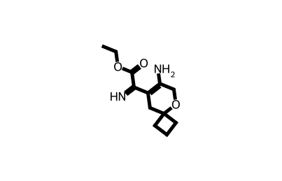 CCOC(=O)C(=N)C1=C(N)COC2(CCC2)C1